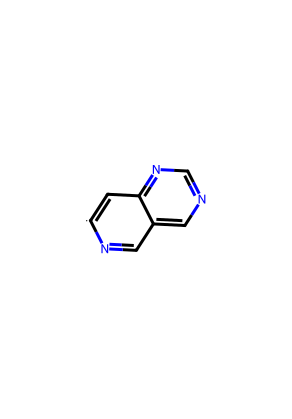 [c]1cc2ncncc2cn1